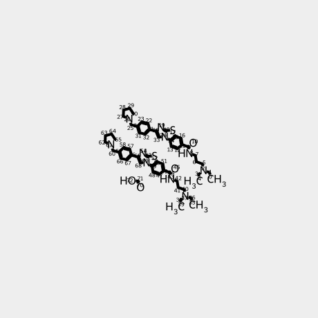 CCN(CC)CCCNC(=O)c1ccc2c(c1)sc1nc(-c3ccc(CN4CCCC4)cc3)cn12.CCN(CC)CCCNC(=O)c1ccc2c(c1)sc1nc(-c3ccc(CN4CCCC4)cc3)cn12.O=CO